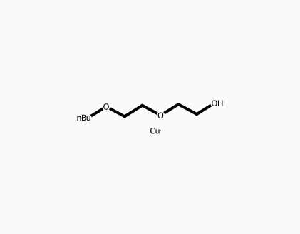 CCCCOCCOCCO.[Cu]